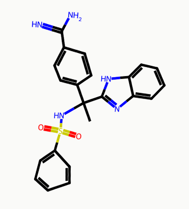 CC(NS(=O)(=O)c1ccccc1)(c1ccc(C(=N)N)cc1)c1nc2ccccc2[nH]1